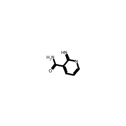 N=C1[N]C=CC=C1C(N)=O